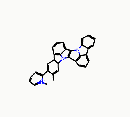 CC1=CC2C(C=C1c1cccc[n+]1C)c1cccc3c1n2c1c2cccc4c5ccccc5n(c42)c31